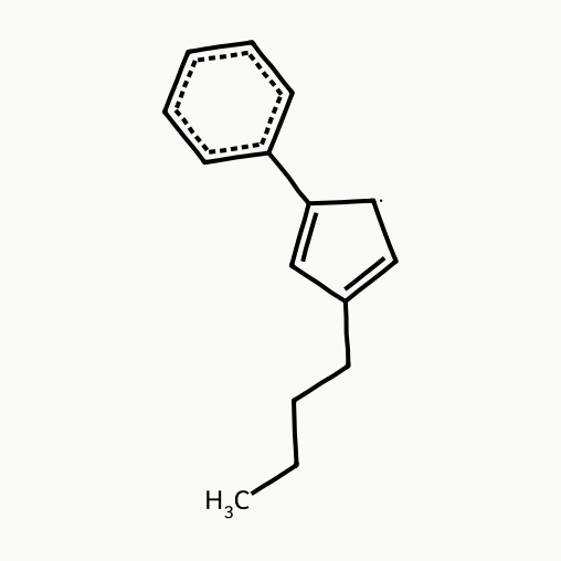 CCCCC1=C[CH]C(c2ccccc2)=C1